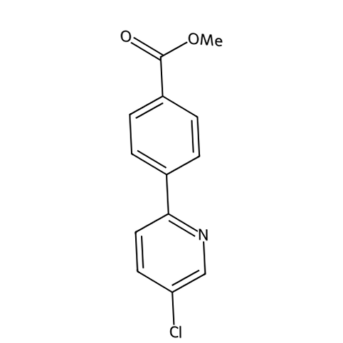 COC(=O)c1ccc(-c2ccc(Cl)cn2)cc1